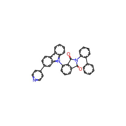 O=C1c2cccc(-n3c4ccccc4c4ccc(-c5ccncc5)cc43)c2C(=O)N1c1ccccc1-c1ccccc1